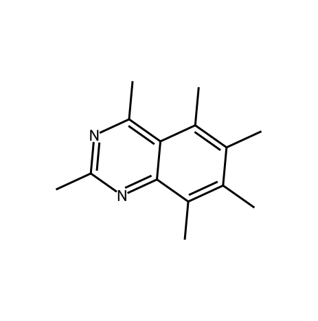 Cc1nc(C)c2c(C)c(C)c(C)c(C)c2n1